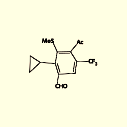 CSc1c(C(C)=O)c(C(F)(F)F)cc(C=O)c1C1CC1